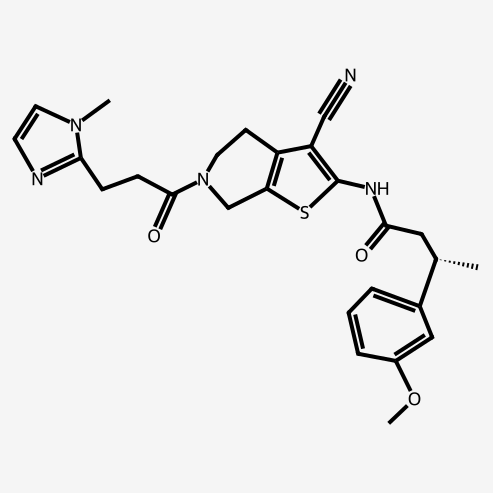 COc1cccc([C@@H](C)CC(=O)Nc2sc3c(c2C#N)CCN(C(=O)CCc2nccn2C)C3)c1